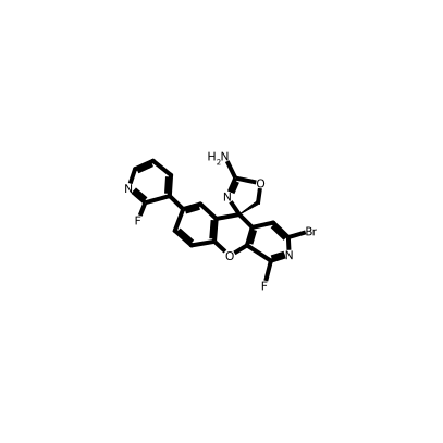 NC1=N[C@@]2(CO1)c1cc(-c3cccnc3F)ccc1Oc1c2cc(Br)nc1F